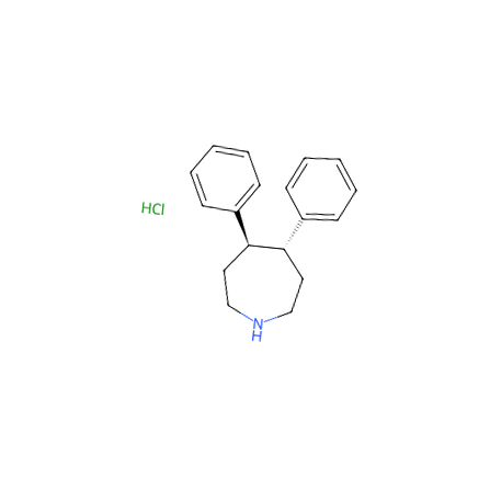 Cl.c1ccc([C@@H]2CCNCC[C@H]2c2ccccc2)cc1